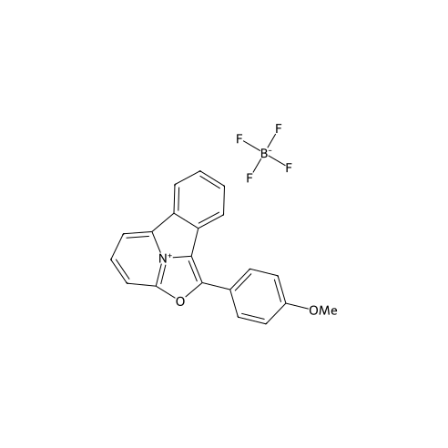 COc1ccc(-c2oc3cccc4[n+]3c2-c2ccccc2-4)cc1.F[B-](F)(F)F